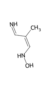 C/C(C=N)=C/NO